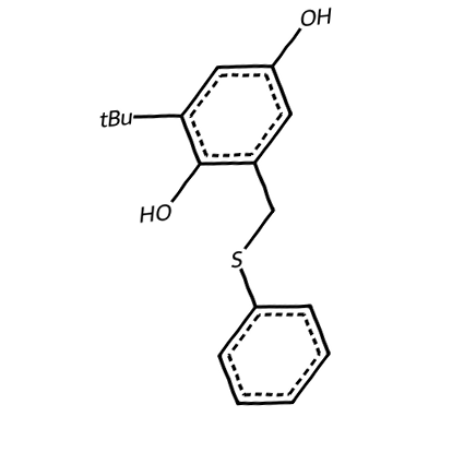 CC(C)(C)c1cc(O)cc(CSc2ccccc2)c1O